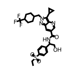 CCS(=O)(=O)c1ccc(C(CO)NC(=O)c2cnc3c(C4CC4)n(CC4CCC(C(F)(F)F)CC4)nc3c2)cc1